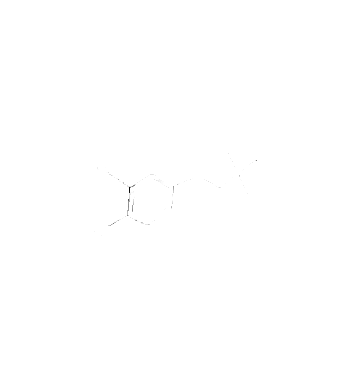 C[Si](C)(C)COc1ccc(C(=O)O)c(O)c1